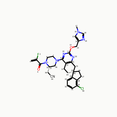 C=C(F)C(=O)N1CCN(c2nc(OCc3cn(C)cn3)nc3c2CC[C@@]2(CCc4c(Cl)cccc42)C3)C[C@@H]1CC#N